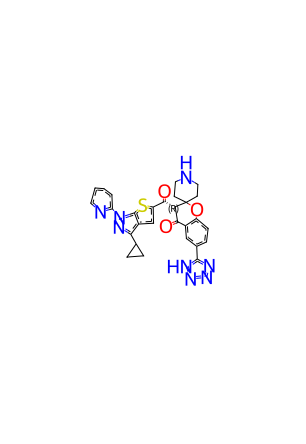 O=C(c1cc2c(C3CC3)nn(-c3ccccn3)c2s1)[C@H]1C(=O)c2cc(-c3nnn[nH]3)ccc2OC12CCNCC2